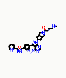 CN(C)C/C=C/C(=O)N1CC2CC(n3nc(-c4ccc(-c5nnc(-c6ccccn6)o5)cc4)c4c(N)ncnc43)CC2C1